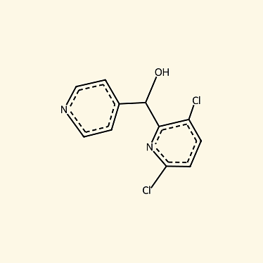 OC(c1ccncc1)c1nc(Cl)ccc1Cl